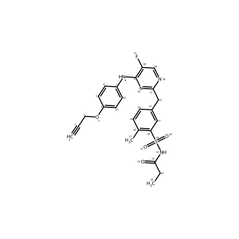 C#CCOc1ccc(Nc2nc(Cc3ccc(C)c(S(=O)(=O)NC(=O)CC)c3)ncc2F)cc1